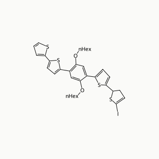 CCCCCCOc1cc(-c2ccc(C3CC=C(I)S3)s2)c(OCCCCCC)cc1-c1ccc(-c2cccs2)s1